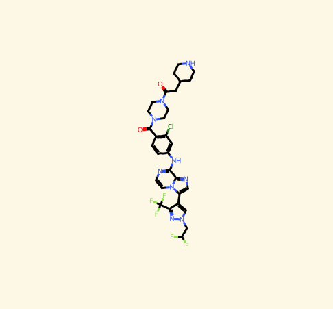 O=C(CC1CCNCC1)N1CCN(C(=O)c2ccc(Nc3nccn4c(-c5cn(CC(F)F)nc5C(F)(F)F)cnc34)cc2Cl)CC1